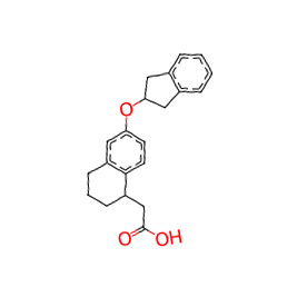 O=C(O)CC1CCCc2cc(OC3Cc4ccccc4C3)ccc21